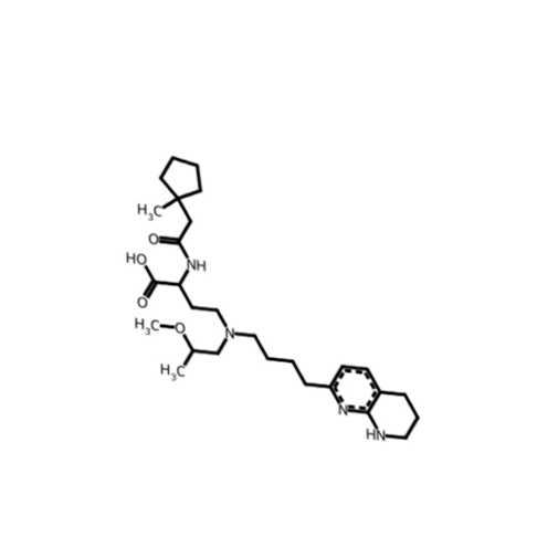 COC(C)CN(CCCCc1ccc2c(n1)NCCC2)CCC(NC(=O)CC1(C)CCCC1)C(=O)O